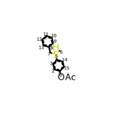 CC(=O)Oc1ccc([SH](C)Cc2ccccc2)cc1